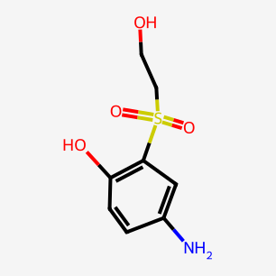 Nc1ccc(O)c(S(=O)(=O)CCO)c1